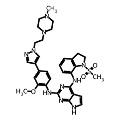 COc1cc(-c2cnn(CCN3CCN(C)CC3)c2)ccc1Nc1nc(Nc2cccc3c2N(S(C)(=O)=O)CC3)c2cc[nH]c2n1